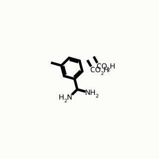 CC(=O)O.CC(=O)O.Cc1cccc(C(N)N)c1